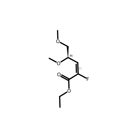 CCOC(=O)/C(F)=C\[C@H](COC)OC